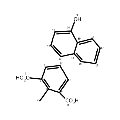 Cc1c(C(=O)O)cccc1C(=O)O.Oc1cccc2ccccc12